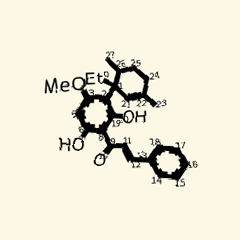 CCC1(c2c(OC)cc(O)c(C(=O)C=Cc3ccccc3)c2O)C=C(C)CCC1C